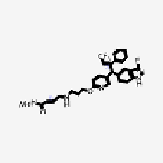 CNC(=O)/C=C/CNCCCOc1ccc(C(/C(=C/C(F)(F)F)c2ccccc2)c2ccc3[nH]nc(F)c3c2)cn1